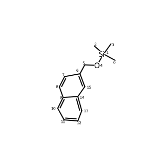 C[Si](C)(C)OCc1ccc2ccccc2c1